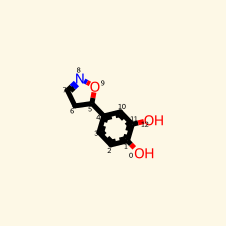 Oc1ccc(C2C[C]=NO2)cc1O